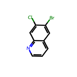 Clc1cc2ncccc2cc1Br